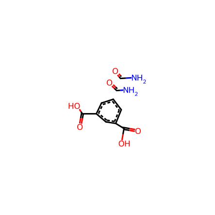 NC=O.NC=O.O=C(O)c1cccc(C(=O)O)c1